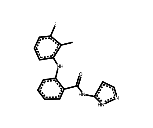 Cc1c(Cl)cccc1Nc1ccccc1C(=O)Nc1ccn[nH]1